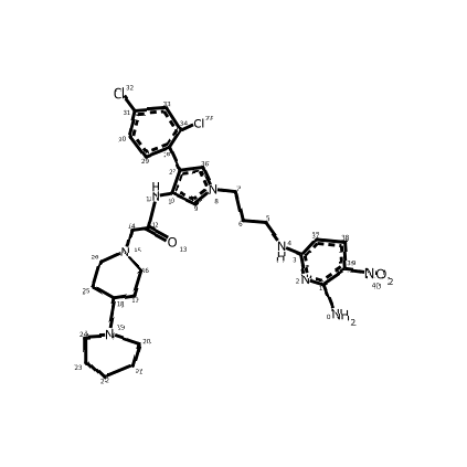 Nc1nc(NCCCn2cc(NC(=O)CN3CCC(N4CCCCC4)CC3)c(-c3ccc(Cl)cc3Cl)c2)ccc1[N+](=O)[O-]